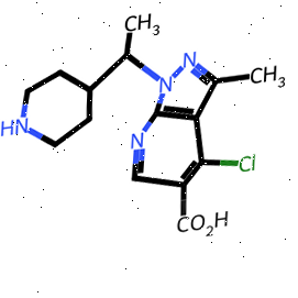 Cc1nn(C(C)C2CCNCC2)c2ncc(C(=O)O)c(Cl)c12